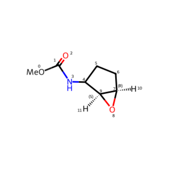 COC(=O)NC1CC[C@H]2O[C@@H]12